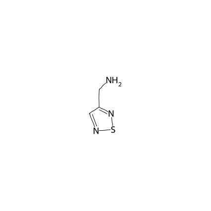 NCc1cnsn1